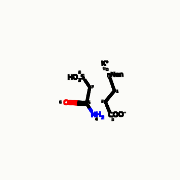 CCCCCCCCCCCC(=O)[O-].NC(=O)CS(=O)(=O)O.[K+]